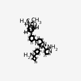 CC(=O)N(C)[C@H]1C[C@H]2CC3C(C2c2cccc(-c4ccc5nc(-c6cccnc6N)n(-c6ccc(C7(N)CCC7)cc6)c5n4)c2)[C@@H]3C1